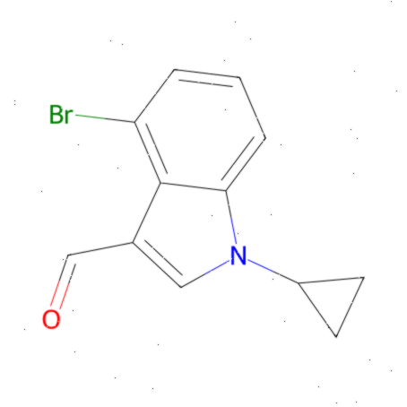 O=Cc1cn(C2CC2)c2cccc(Br)c12